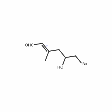 CCC(C)CC(O)C/C(C)=C/C=O